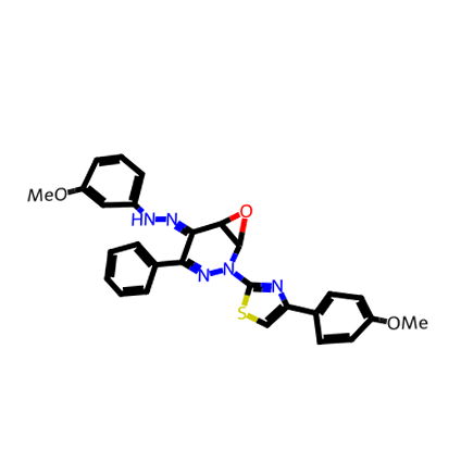 COc1ccc(-c2csc(N3N=C(c4ccccc4)/C(=N\Nc4cccc(OC)c4)C4OC43)n2)cc1